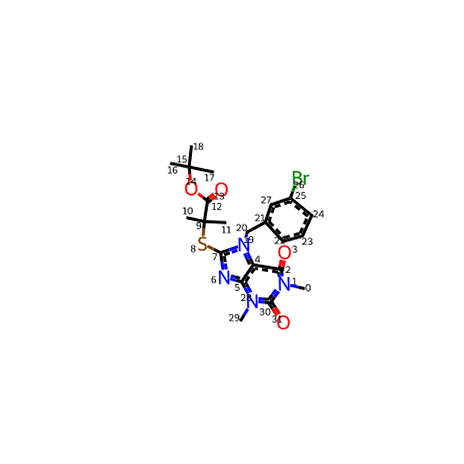 Cn1c(=O)c2c(nc(SC(C)(C)C(=O)OC(C)(C)C)n2Cc2cccc(Br)c2)n(C)c1=O